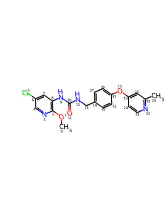 COc1ncc(Cl)cc1NC(=O)NCc1ccc(Oc2ccnc(C)c2)cc1